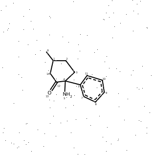 CC1CCC(N)(c2ccccc2)C(=O)C1